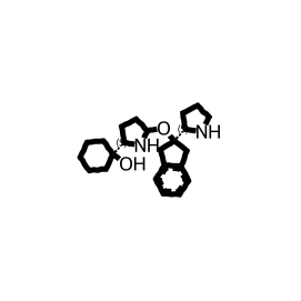 OC1([C@@H]2CCC(OC3([C@@H]4CCCN4)Cc4ccccc4C3)N2)CCCCC1